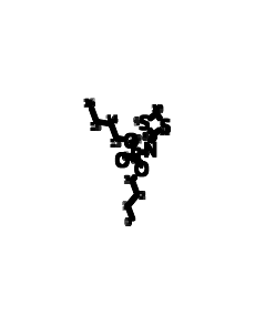 CCCCOP(=O)(N=C1SCS1)OCCCC